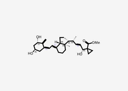 C=C1/C(=C\C=C2/CCC[C@]3(C)[C@@H]([C@H](C)/C=C/[C@@H](O)C4(C(=O)OC)CC4)CC[C@@H]23)C[C@@H](O)C[C@@H]1O